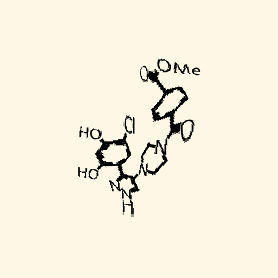 COC(=O)c1ccc(C(=O)N2CCN(c3c[nH]nc3-c3cc(Cl)c(O)cc3O)CC2)cc1